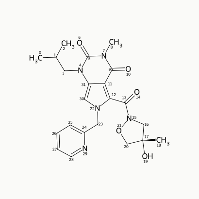 CC(C)Cn1c(=O)n(C)c(=O)c2c(C(=O)N3C[C@](C)(O)CO3)n(Cc3ccccn3)cc21